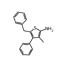 Cc1c(N)sc(Cc2ccccc2)c1-c1ccccc1